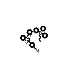 CCCC[B-](c1ccccc1)(c1ccccc1)c1ccccc1.N#Cc1ccc(C(=O)C[S+](c2ccccc2)c2ccccc2)cc1